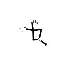 CC1(C)CN(F)C1